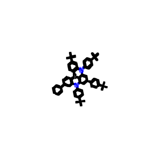 CC(C)(C)c1ccc(-c2cc3c4c(c2)N(c2ccc(C(C)(C)C)cc2)c2cc(C(C)(C)C)ccc2B4c2ccc(-c4ccccc4)cc2N3c2ccc(C(C)(C)C)cc2)cc1